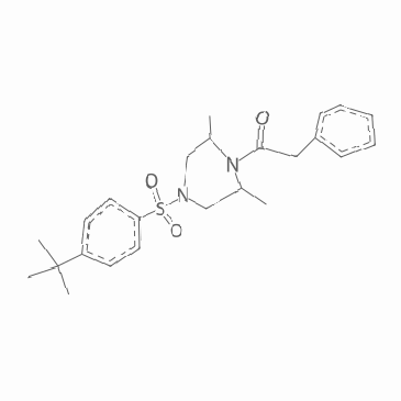 CC1CN(S(=O)(=O)c2ccc(C(C)(C)C)cc2)CC(C)N1C(=O)Cc1ccccc1